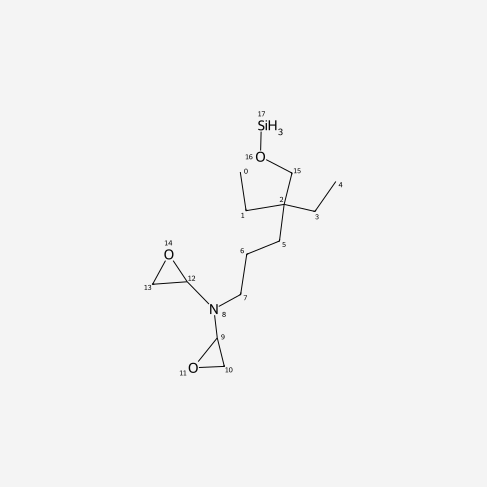 CCC(CC)(CCCN(C1CO1)C1CO1)CO[SiH3]